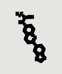 CC(=N)Nc1ccc2nc(-c3ccc4ocnc4c3)ccc2c1